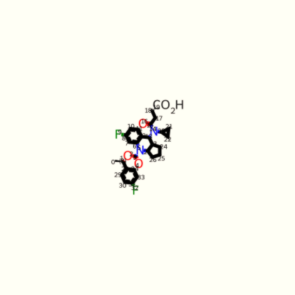 C[C@@H](OC(=O)N1c2cc(F)ccc2C(N(C(=O)CCC(=O)O)C2CC2)C2CCCC21)c1ccc(F)cc1